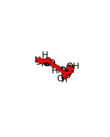 Cc1ncsc1-c1ccc(CNC(=O)[C@@H]2CCCN2C(=O)CNC(=O)CCCCCCCCCCNC(=O)CCNC[C@@H](C(=O)N2CCN(c3ncnc4c3[C@H](C)C[C@H]4O)CC2)c2ccc(Cl)cc2)cc1